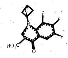 O=C(O)c1cn(C23CC(C2)C3)c2c(F)c(F)c(F)cc2c1=O